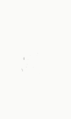 CC(C)P(c1ccc2ccccc2c1-c1c(O)ccc2ccccc12)C(C)C